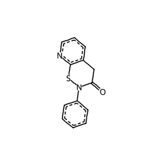 O=C1Cc2cccnc2SN1c1ccccc1